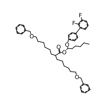 CCCCCC(OC(=O)C(CCCCCCOCc1ccccc1)CCCCCCOCc1ccccc1)Oc1ccc(-c2cccc(F)c2F)cc1